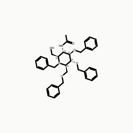 CC(=O)N[C@@H]1[C@@H](OCc2ccccc2)[C@H](OCc2ccccc2)[C@@H](COCc2ccccc2)N(Cc2ccccc2)[C@H]1CO